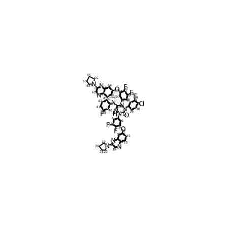 O=C(Nc1cc(F)c(F)c(Oc2ccc3ncc(N4CCCC4)nc3c2)c1)N(c1ccc(Cl)c(F)c1)N(C(=O)Nc1cccc(F)c1)c1cc(F)c(F)c(Oc2ccc3ncc(N4CCCC4)nc3c2)c1